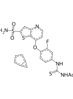 CC(=O)NC(=S)Nc1ccc(Oc2ccnc3cc(S(N)(=O)=O)sc23)c(F)c1.c1cc2cc-2c1